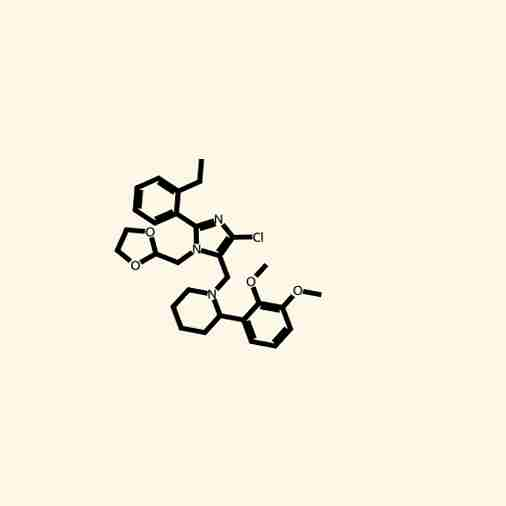 CCc1ccccc1-c1nc(Cl)c(CN2CCCCC2c2cccc(OC)c2OC)n1CC1OCCO1